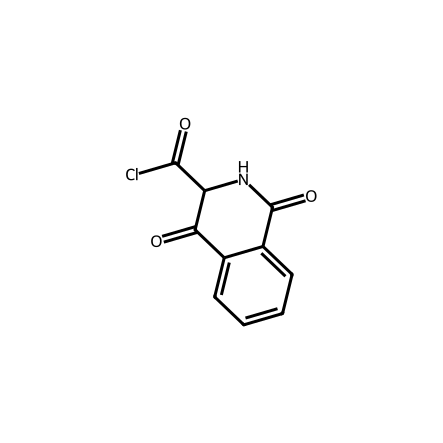 O=C1NC(C(=O)Cl)C(=O)c2ccccc21